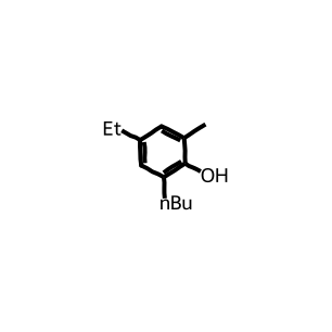 CCCCc1cc(CC)cc(C)c1O